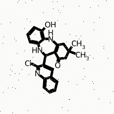 CC1(C)CC(=O)C2=C(C1)Nc1c(O)cccc1NC2c1cc2ccccc2nc1Cl